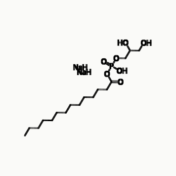 CCCCCCCCCCCCCC(=O)OP(=O)(O)OCC(O)CO.[NaH].[NaH]